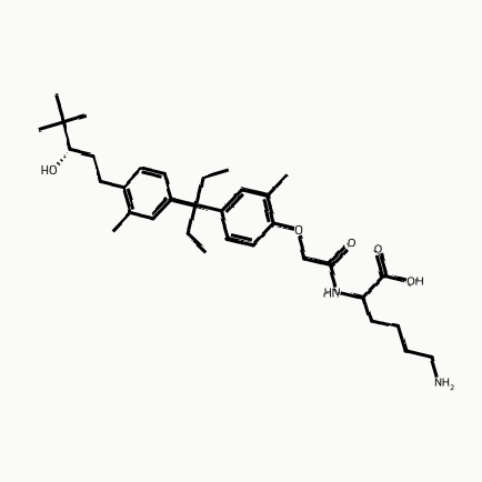 CCC(CC)(c1ccc(CC[C@H](O)C(C)(C)C)c(C)c1)c1ccc(OCC(=O)NC(CCCCN)C(=O)O)c(C)c1